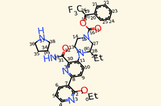 CCOc1ncccc1-c1ccc(N2CCN(C(=O)O[C@H](c3ccccc3)C(F)(F)F)C[C@H]2CC)c(C(=O)N[C@@H]2CCNC2)n1